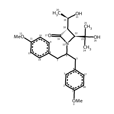 COc1ccc(CC(Cc2ccc(OC)cc2)N2C(=O)[C@H]([C@@H](C)O)[C@H]2C(C)(C)O)cc1